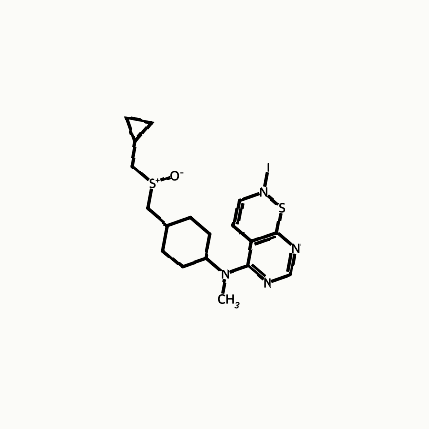 CN(c1ncnc2c1C=CN(I)S2)C1CCC(C[S+]([O-])CC2CC2)CC1